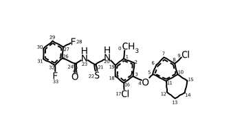 Cc1cc(Oc2ccc(Cl)c3c2CCCC3)c(Cl)cc1NC(=S)NC(=O)c1c(F)cccc1F